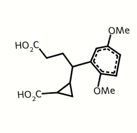 COc1ccc(OC)c(C(CCC(=O)O)C2CC2C(=O)O)c1